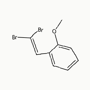 COc1ccccc1C=C(Br)Br